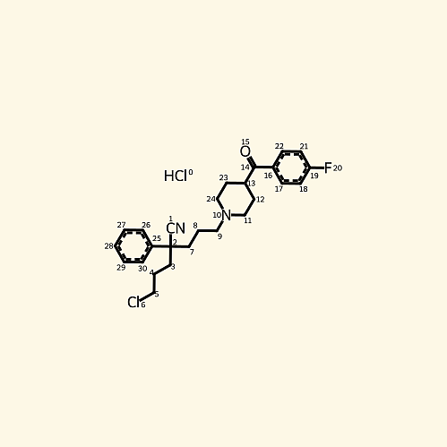 Cl.N#CC(CCCCl)(CCCN1CCC(C(=O)c2ccc(F)cc2)CC1)c1ccccc1